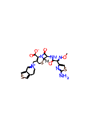 CON=C(C(=O)NC1C(=O)N2C(C(=O)[O-])=C(C[n+]3ccc4cscc4c3)CS[C@@H]12)c1csc(N)n1